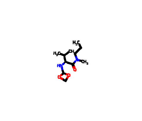 CCCN(C)C(=O)[C@@H](NC1OCO1)C(C)C